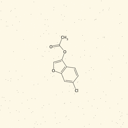 CC(=O)Oc1coc2cc(Cl)ccc12